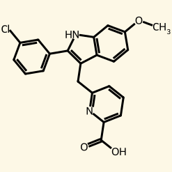 COc1ccc2c(Cc3cccc(C(=O)O)n3)c(-c3cccc(Cl)c3)[nH]c2c1